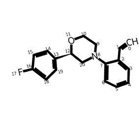 C=Cc1ccccc1N1CCO[C@H](c2ccc(F)cc2)C1